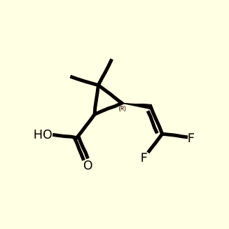 CC1(C)C(C(=O)O)[C@@H]1C=C(F)F